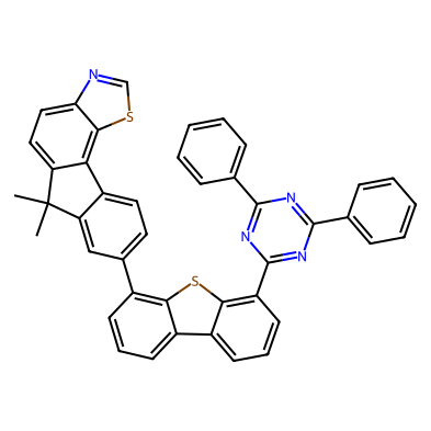 CC1(C)c2cc(-c3cccc4c3sc3c(-c5nc(-c6ccccc6)nc(-c6ccccc6)n5)cccc34)ccc2-c2c1ccc1ncsc21